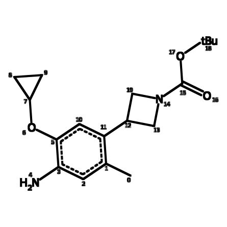 Cc1cc(N)c(OC2CC2)cc1C1CN(C(=O)OC(C)(C)C)C1